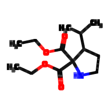 CCOC(=O)C1(C(=O)OCC)NCCC1C(C)C